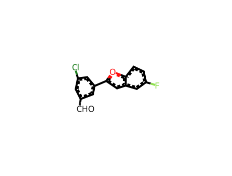 O=Cc1cc(Cl)cc(-c2cc3cc(F)ccc3o2)c1